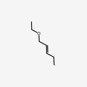 [CH2]C/C=C/COCC